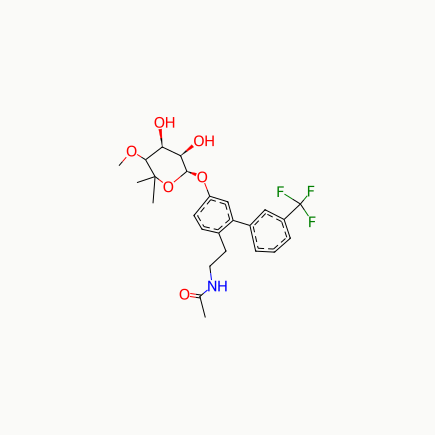 COC1[C@@H](O)[C@@H](O)[C@@H](Oc2ccc(CCNC(C)=O)c(-c3cccc(C(F)(F)F)c3)c2)OC1(C)C